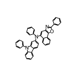 c1ccc(-c2nc3cc(N(c4ccccc4)c4ccc5c6ccccc6n(-c6ccccc6)c5c4)c4ccccc4c3o2)cc1